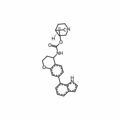 O=C(NC1CCOc2cc(-c3cccc4cc[nH]c34)ccc21)O[C@@H]1CN2CCC1CC2